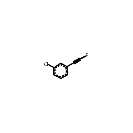 FC#Cc1cccc(Cl)c1